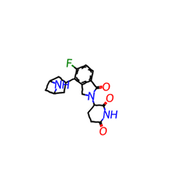 O=C1CCC(N2Cc3c(ccc(F)c3C3CC4CC(C3)N4)C2=O)C(=O)N1